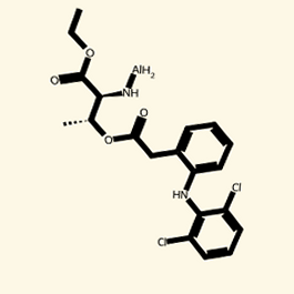 CCOC(=O)[C@@H]([NH][AlH2])[C@@H](C)OC(=O)Cc1ccccc1Nc1c(Cl)cccc1Cl